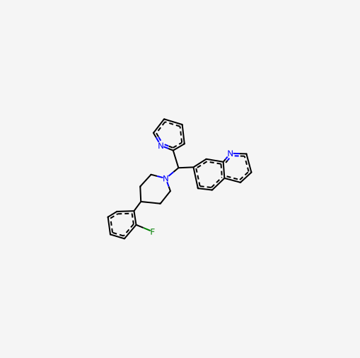 Fc1ccccc1C1CCN(C(c2ccc3cccnc3c2)c2ccccn2)CC1